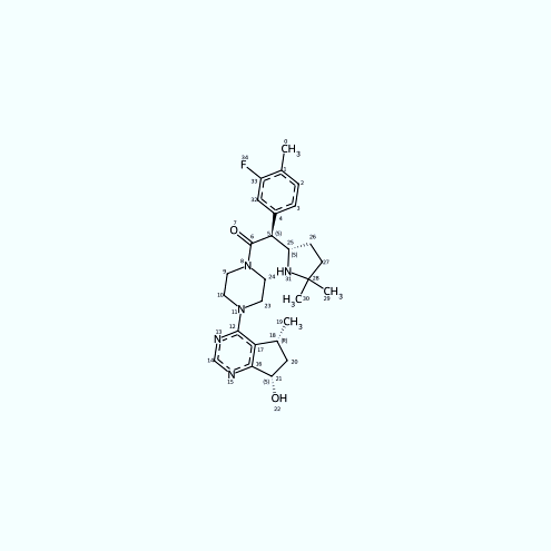 Cc1ccc([C@H](C(=O)N2CCN(c3ncnc4c3[C@H](C)C[C@@H]4O)CC2)[C@@H]2CCC(C)(C)N2)cc1F